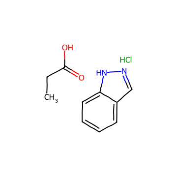 CCC(=O)O.Cl.c1ccc2[nH]ncc2c1